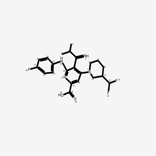 CC(C)C(=N)c1c(N2CCCC(C(F)F)C2)cc(C(=O)O)nc1Nc1ccc(F)cc1